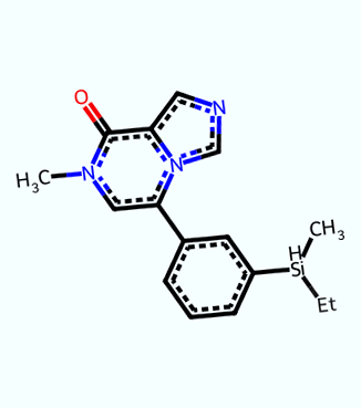 CC[SiH](C)c1cccc(-c2cn(C)c(=O)c3cncn23)c1